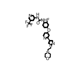 O=C(Nc1cncc(C(F)(F)F)c1)Nc1ccc(Oc2ccnc(-c3cnn(CCN4CCOCC4)c3)c2)cc1F